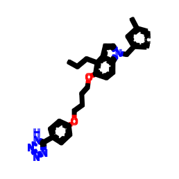 CCCc1c(OCCCCOc2ccc(-c3nnn[nH]3)cc2)ccc2c1ccn2Cc1cccc(C)c1